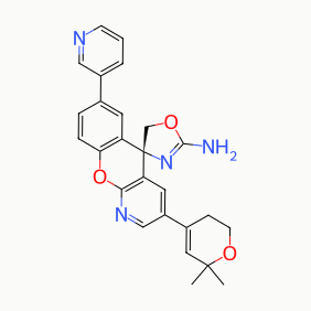 CC1(C)C=C(c2cnc3c(c2)[C@]2(COC(N)=N2)c2cc(-c4cccnc4)ccc2O3)CCO1